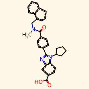 CN(Cc1cccc2ccccc12)C(=O)c1ccc(-c2nc3cc(C(=O)O)ccc3n2C2CCCC2)cc1